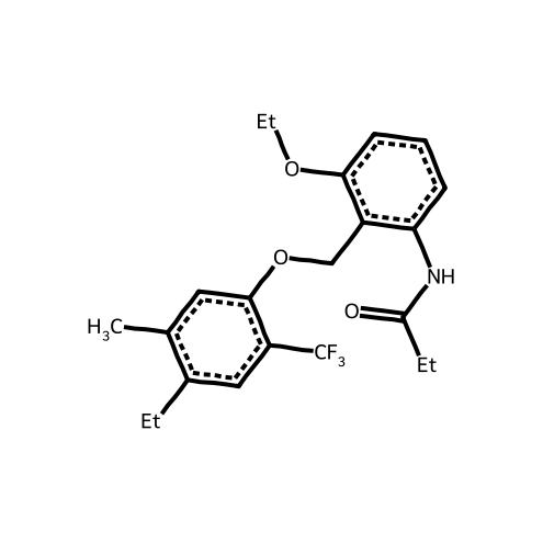 CCOc1cccc(NC(=O)CC)c1COc1cc(C)c(CC)cc1C(F)(F)F